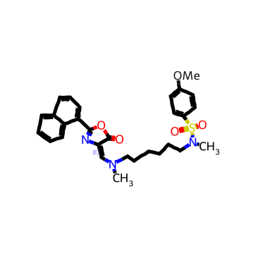 COc1ccc(S(=O)(=O)N(C)CCCCCCN(C)/C=C2/N=C(c3cccc4ccccc34)OC2=O)cc1